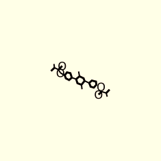 C=C(C)C(=O)Oc1ccc(-c2cc(C)c(-c3ccc(OC(=O)C(=C)C)cc3)cc2C)cc1